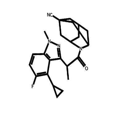 CC(C(=O)N1C2CC3CC1CC(C#N)(C3)C2)c1nn(C)c2ccc(F)c(C3CC3)c12